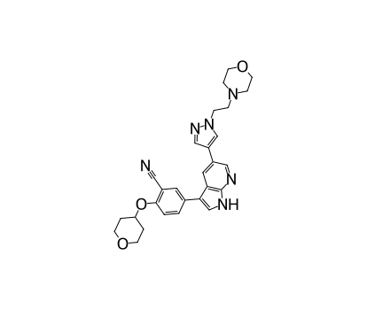 N#Cc1cc(-c2c[nH]c3ncc(-c4cnn(CCN5CCOCC5)c4)cc23)ccc1OC1CCOCC1